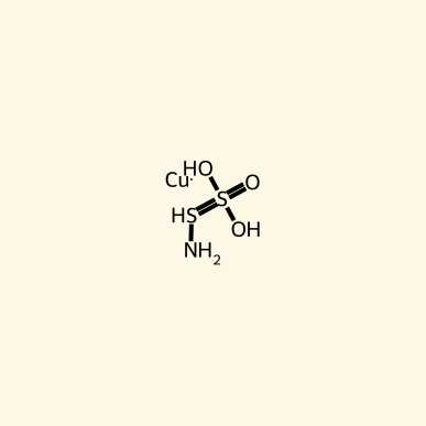 N[SH]=S(=O)(O)O.[Cu]